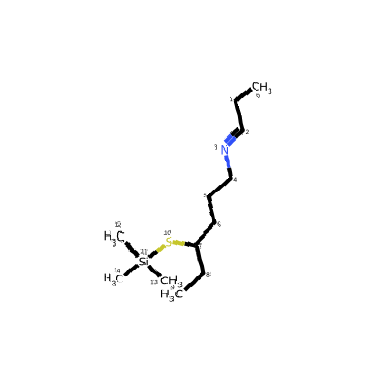 CC/C=N/CCCC(CC)S[Si](C)(C)C